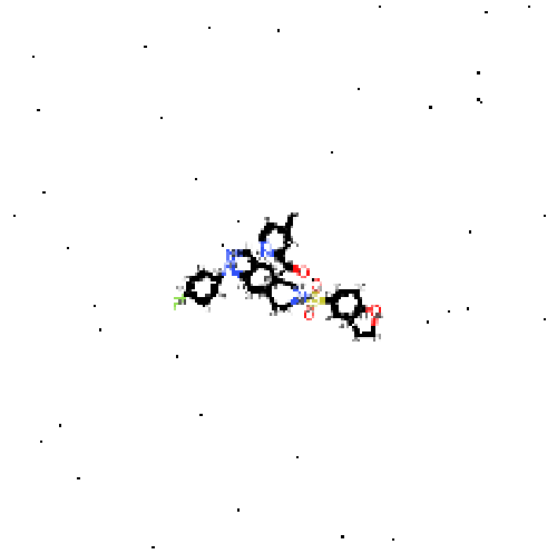 Cc1ccnc(C(=O)[C@]23Cc4cnn(-c5ccc(F)cc5)c4C=C2CCN(S(=O)(=O)c2ccc4c(c2)CCO4)C3)c1